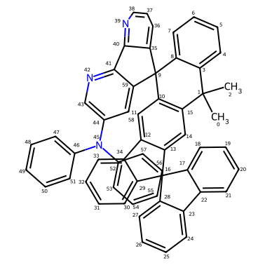 CC1(C)c2ccccc2C2(c3cc4c(cc31)C1(c3ccccc3-c3ccccc31)c1ccccc1-4)c1cccnc1-c1ncc(N(c3ccccc3)c3ccccc3)cc12